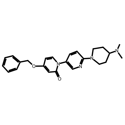 CN(C)C1CCN(c2ccc(-n3ccc(OCc4ccccc4)cc3=O)cn2)CC1